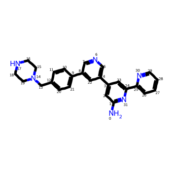 Nc1cc(-c2cncc(-c3ccc(CN4CCNCC4)cc3)c2)cc(-c2ccccn2)n1